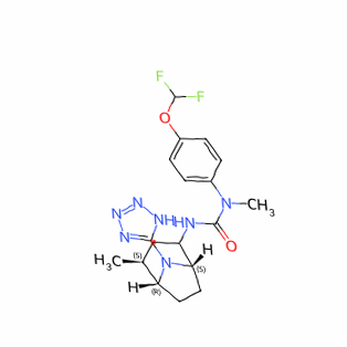 C[C@H]1CC(NC(=O)N(C)c2ccc(OC(F)F)cc2)[C@@H]2CC[C@H]1N2c1nnn[nH]1